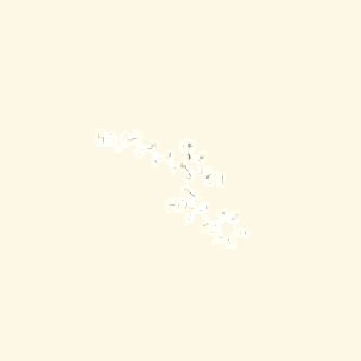 CC(O)(C=CC1=C(CCCCCCC(=O)O)C(=O)CC1O)CCC1CCCCC1